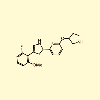 COc1cccc(F)c1C1=CNC(c2cccc(OC3CCNC3)n2)C1